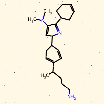 CC(CCCN)C1=CCC(C2C=C(N(C)C)C(C3CC=CCC3)=N2)C=C1